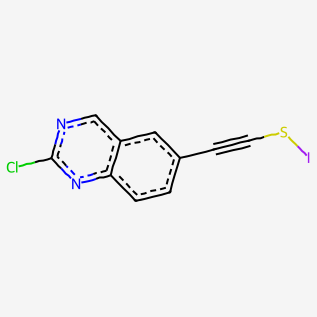 Clc1ncc2cc(C#CSI)ccc2n1